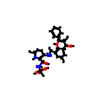 Cc1cc(C(C)Nc2ccc(C)nc2C(=O)NS(C)(=O)=O)c2oc(-c3ccccc3)c(C)c(=O)c2c1